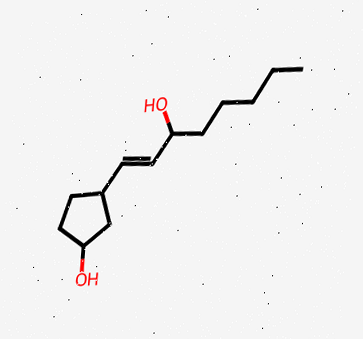 CCCCCC(O)C=CC1CCC(O)C1